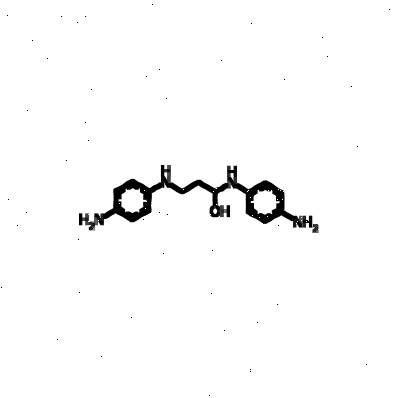 Nc1ccc(NCCC(O)Nc2ccc(N)cc2)cc1